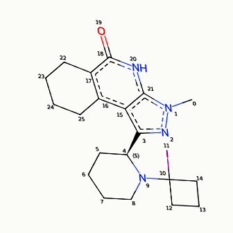 Cn1nc([C@@H]2CCCCN2C2(I)CCC2)c2c3c(c(=O)[nH]c21)CCCC3